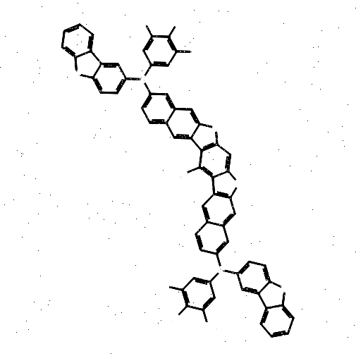 Cc1cc(N(c2ccc3cc4c(cc3c2)oc2cc3oc5cc6cc(N(c7cc(C)c(C)c(C)c7)c7ccc8oc9ccccc9c8c7)ccc6cc5c3c(C)c24)c2ccc3oc4ccccc4c3c2)cc(C)c1C